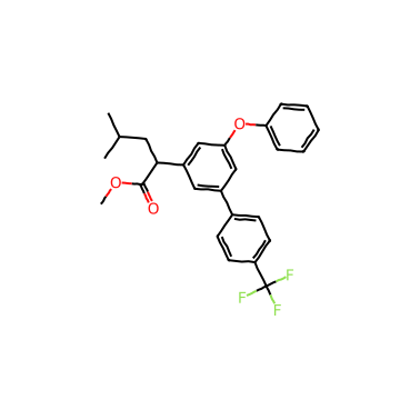 COC(=O)C(CC(C)C)c1cc(Oc2ccccc2)cc(-c2ccc(C(F)(F)F)cc2)c1